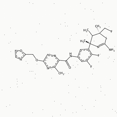 Cc1nc(OCc2ncco2)cnc1C(=O)Nc1cc(F)c(F)c([C@@]2(C)N=C(N)S[C@](C)(CF)C2C)c1